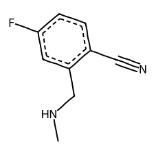 CNCc1cc(F)ccc1C#N